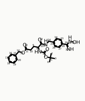 CC(C)(C)OC(=O)NC(CCC(=O)OCc1ccccc1)C(=O)NCc1ccc(C(=N)NO)cc1